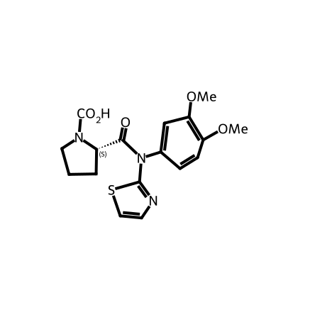 COc1ccc(N(C(=O)[C@@H]2CCCN2C(=O)O)c2nccs2)cc1OC